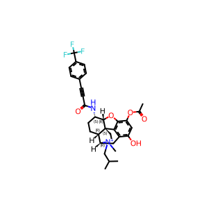 CC(=O)Oc1cc(O)c2c3c1O[C@H]1[C@@H](NC(=O)C#Cc4ccc(C(F)(F)F)cc4)CC[C@H]4[C@@H](C2)[N+](C)(CC(C)C)CC[C@@]341